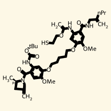 C=C(CCC)CNC(=O)c1cc(OC)c(OCCCCCOc2cc(NC(=O)OC(C)(C)C)c(C(=O)N3CC(=C)C[C@H]3C)cc2OC)cc1NC(=C)OCCS